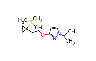 CC(C)n1ccc(OCCC2(S(C)(C)C)CC2)n1